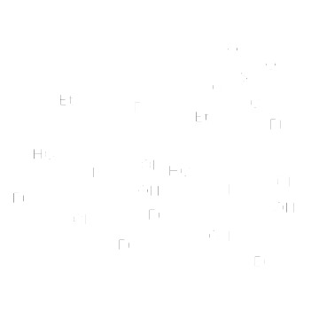 CCC=C(O)[P+](C(O)=CCC)(C(O)=CCC)C(O)=CCC.CCC=C(O)[P+](C(O)=CCC)(C(O)=CCC)C(O)=CCC.O=S(=O)([O-])[O-]